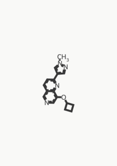 Cn1cc(-c2ccc3cncc(OC4CCC4)c3n2)cn1